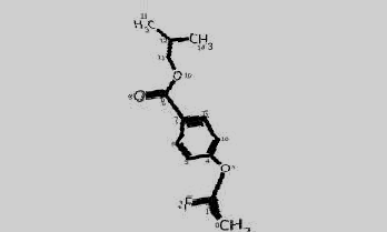 C=C(F)Oc1ccc(C(=O)OCC(C)C)cc1